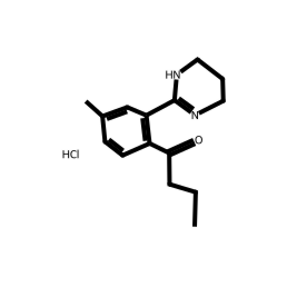 CCCC(=O)c1ccc(C)cc1C1=NCCCN1.Cl